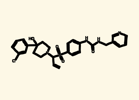 C=CC(N1CCC(O)(c2cccc(Cl)c2)CC1)S(=O)(=O)c1ccc(NC(=O)NCc2cccnc2)cc1